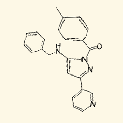 Cc1ccc(C(=O)n2nc(-c3cccnc3)cc2NCc2ccccc2)cc1